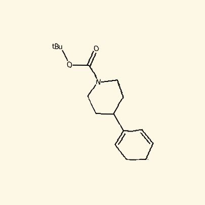 CC(C)(C)OC(=O)N1CCC(C2=CC[CH]C=C2)CC1